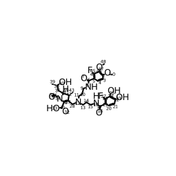 COc1ccc(C(=O)NCCCN(CCCNC(=O)c2ccc(O)c(O)c2F)CC2=C(C(=O)O)N3C(=O)[C@H]([C@@H](C)O)[C@H]3[C@H]2C)c(F)c1OC